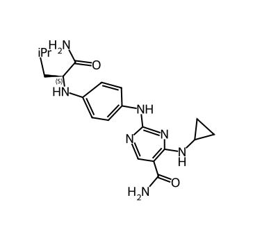 CC(C)C[C@H](Nc1ccc(Nc2ncc(C(N)=O)c(NC3CC3)n2)cc1)C(N)=O